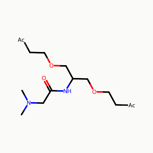 CC(=O)CCOCC(COCCC(C)=O)NC(=O)CN(C)C